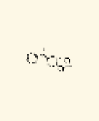 C[C](c1ccccc1)c1ccc2c(c1)COC(C)(C)O2